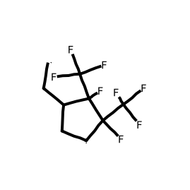 [CH2]CC1C[CH]C(F)(C(F)(F)F)C1(F)C(F)(F)F